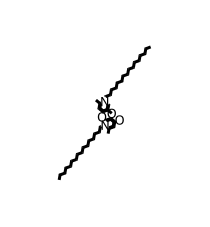 CCCCCCCCCCCCCCCCn1cc(Oc2cn(CCCCCCCCCCCCCCCC)c(C)cc2=O)c(=O)cc1C